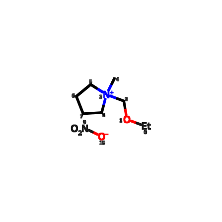 CCOC[N+]1(C)CCCC1.O=[N+]([O-])[O-]